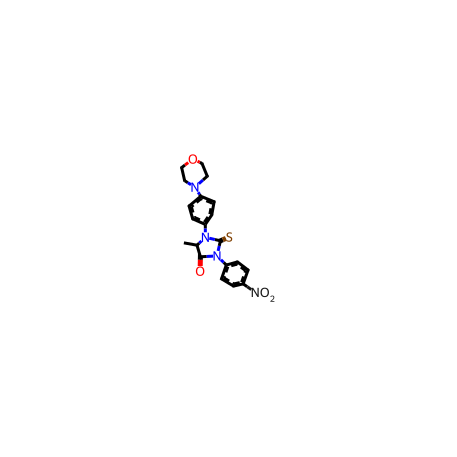 CC1C(=O)N(c2ccc([N+](=O)[O-])cc2)C(=S)N1c1ccc(N2CCOCC2)cc1